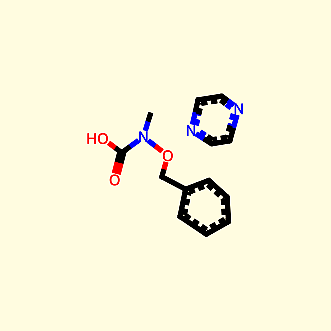 CN(OCc1ccccc1)C(=O)O.c1cnccn1